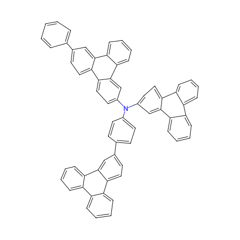 c1ccc(-c2ccc3c4ccc(N(c5ccc(-c6ccc7c8ccccc8c8ccccc8c7c6)cc5)c5ccc6c7ccccc7c7ccccc7c6c5)cc4c4ccccc4c3c2)cc1